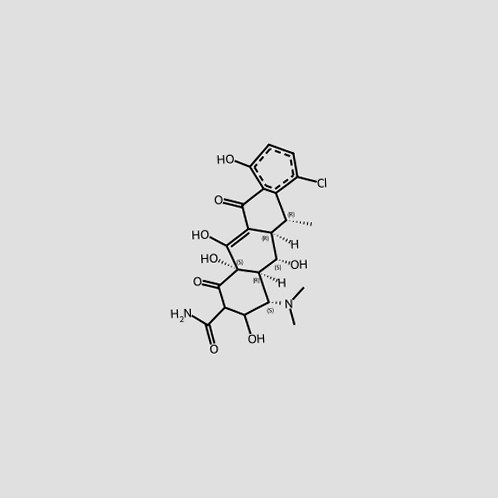 C[C@H]1c2c(Cl)ccc(O)c2C(=O)C2=C(O)[C@]3(O)C(=O)C(C(N)=O)C(O)[C@@H](N(C)C)[C@@H]3[C@@H](O)[C@@H]21